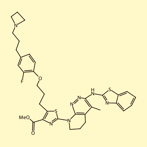 COC(=O)c1nc(N2CCCc3c2nnc(Nc2nc4ccccc4s2)c3C)sc1CCCOc1ccc(CCCN2CCC2)cc1F